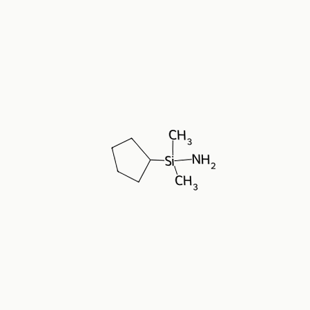 C[Si](C)(N)C1CCCC1